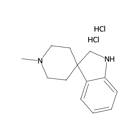 CN1CCC2(CC1)CNc1ccccc12.Cl.Cl